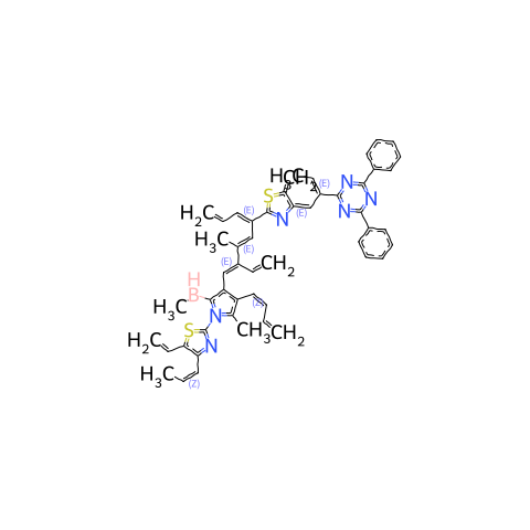 C=C/C=C\c1c(/C=C(C=C)/C(C)=C/C(=C\C=C)c2n/c(=C/C(=C\C)c3nc(-c4ccccc4)nc(-c4ccccc4)n3)c(=C)s2)c(BC)n(-c2nc(/C=C\C)c(C=C)s2)c1C